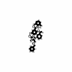 Cc1cccc(C)c1NC(=O)c1cc(F)c(-n2nc(COCc3ccccc3)n(C)c2=O)cc1OC(C)C1CCCCC1